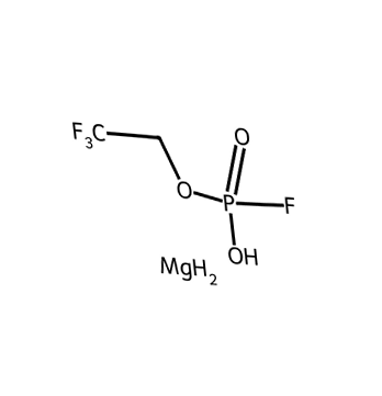 O=P(O)(F)OCC(F)(F)F.[MgH2]